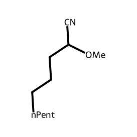 CCCCCCCCC(C#N)OC